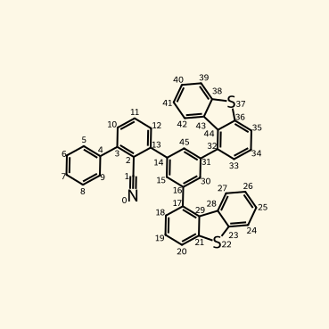 N#Cc1c(-c2ccccc2)cccc1-c1cc(-c2cccc3sc4ccccc4c23)cc(-c2cccc3sc4ccccc4c23)c1